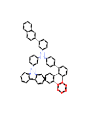 c1ccc(-c2ccccc2-c2c(-c3ccccc3)cccc2-c2ccc(N(c3cccc(-c4ccc5ccccc5c4)c3)c3cccc(-n4c5ccccc5c5ccccc54)c3)cc2)cc1